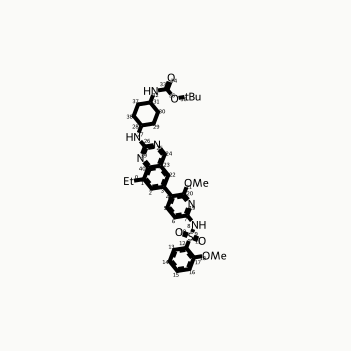 CCc1cc(-c2ccc(NS(=O)(=O)c3ccccc3OC)nc2OC)cc2cnc(NC3CCC(NC(=O)OC(C)(C)C)CC3)nc12